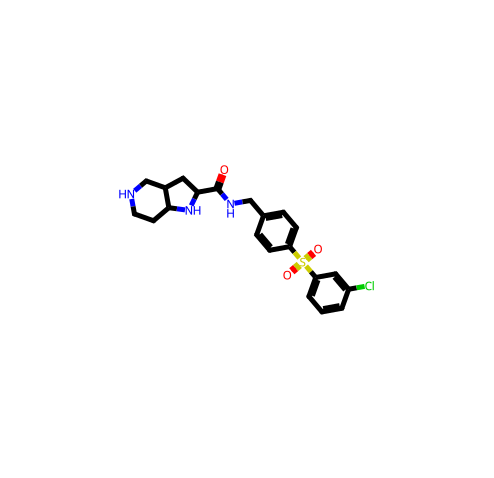 O=C(NCc1ccc(S(=O)(=O)c2cccc(Cl)c2)cc1)C1CC2CNCCC2N1